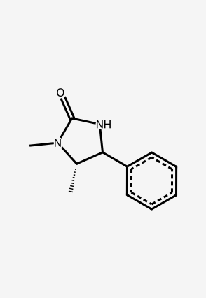 C[C@H]1C(c2ccccc2)NC(=O)N1C